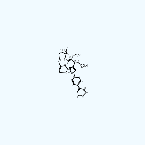 CC(C)(C)OC(=NN1[C@@H](Cc2ccccc2)COC1(C)C)[C@H](CC(=O)O)c1ccn(-c2ccc(-c3ccccc3)cc2)c1